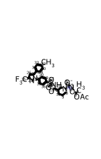 CC(=O)OC(C)O/N=[N+](/[O-])N1CCCC(C(=O)NS(=O)(=O)c2ccc(-n3nc(C(F)(F)F)cc3-c3ccc(C)cc3)cc2)C1